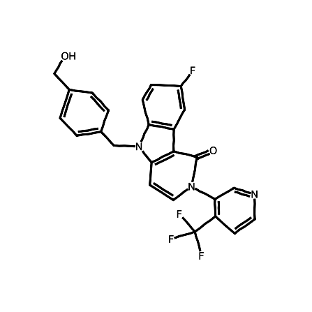 O=c1c2c3cc(F)ccc3n(Cc3ccc(CO)cc3)c2ccn1-c1cnccc1C(F)(F)F